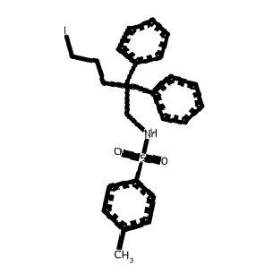 Cc1ccc(S(=O)(=O)NCC(CCCI)(c2ccccc2)c2ccccc2)cc1